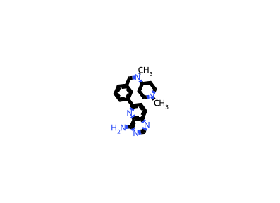 CN1CCC(N(C)Cc2cccc(-c3ccc4ncnc(N)c4n3)c2)CC1